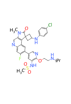 CC(C)NCCOc1ncc(-c2cc3c4c(cnc3cc2F)N(C)C(=O)C42CC(Nc3ccc(Cl)cc3)C2)cc1NS(C)(=O)=O